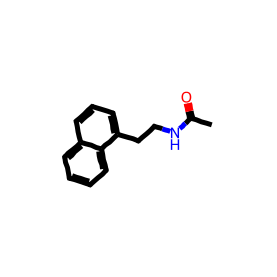 CC(=O)NCCc1cccc2ccccc12